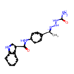 C/C(=N\NNC(N)=O)c1ccc(NC(=O)c2c[nH]c3ccccc23)cc1